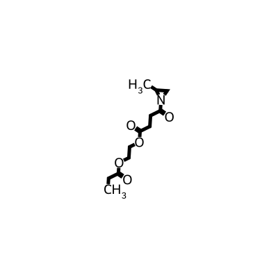 CCC(=O)OCCOC(=O)CCC(=O)N1CC1C